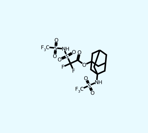 O=C(OC12CC3CC(CC(NS(=O)(=O)C(F)(F)F)(C3)C1)C2)C(F)(F)S(=O)(=O)NS(=O)(=O)C(F)(F)F